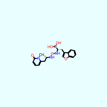 Cn1c(CCNON[C@@H](Cc2coc3ccccc23)B(O)O)cccc1=O